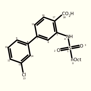 CCCCCCCCS(=O)(=O)Nc1cc(-c2cccc(Cl)c2)ccc1C(=O)O